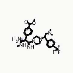 CN/C(N)=C(\C(=N)N1CCN(C(CN(C)C)c2ccc(C(F)(F)F)cc2)CC1)c1ccc(C(=O)OC)cc1